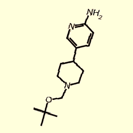 CC(C)(C)OCN1CCC(c2ccc(N)nc2)CC1